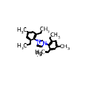 CCc1cc(C)cc(CC)c1N1C=CN(c2c(CC)cc(C)cc2CC)C1.[Ag]